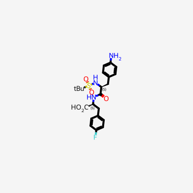 CC(C)(C)S(=O)(=O)N[C@@H](Cc1ccc(N)cc1)C(=O)N[C@@H](Cc1ccc(F)cc1)C(=O)O